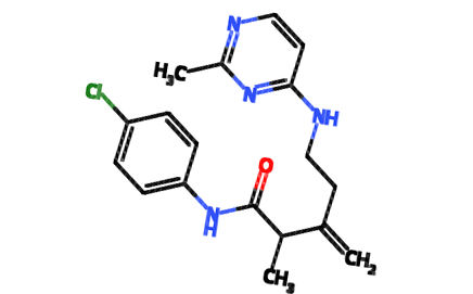 C=C(CCNc1ccnc(C)n1)C(C)C(=O)Nc1ccc(Cl)cc1